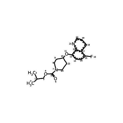 CC(C)COC(=O)N1CCC(Oc2ccc(F)c3cccnc23)CC1